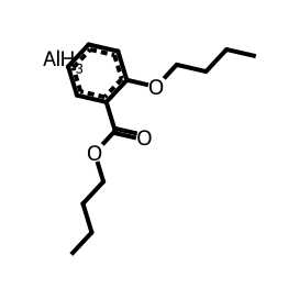 CCCCOC(=O)c1ccccc1OCCCC.[AlH3]